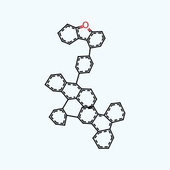 c1ccc(-c2c3ccccc3c(-c3ccc(-c4cccc5oc6ccccc6c45)cc3)c3ccccc23)c(-c2ccc3c4ccccc4c4ccccc4c3c2)c1